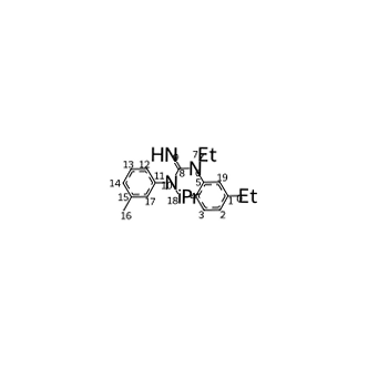 CCc1cccc(N(CC)C(=N)N(c2cccc(C)c2)C(C)C)c1